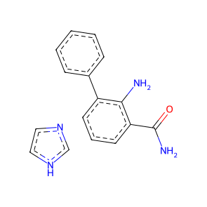 NC(=O)c1cccc(-c2ccccc2)c1N.c1c[nH]cn1